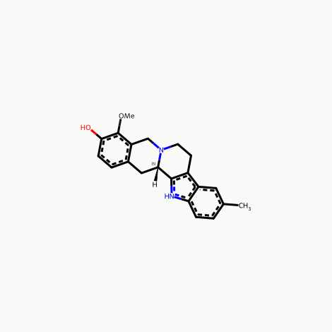 COc1c(O)ccc2c1CN1CCc3c([nH]c4ccc(C)cc34)[C@@H]1C2